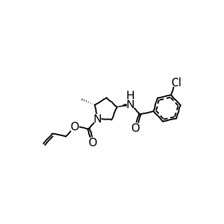 C=CCOC(=O)N1C[C@H](NC(=O)c2cccc(Cl)c2)C[C@H]1C